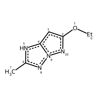 CCOc1cc2[nH]c(C)nn2n1